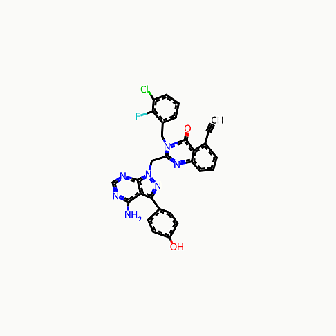 C#Cc1cccc2nc(Cn3nc(-c4ccc(O)cc4)c4c(N)ncnc43)n(Cc3cccc(Cl)c3F)c(=O)c12